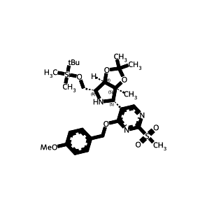 COc1ccc(COc2nc(S(C)(=O)=O)ncc2[C@@H]2N[C@H](CO[Si](C)(C)C(C)(C)C)[C@H]3OC(C)(C)O[C@]32C)cc1